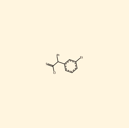 CCc1cccc(C(C(=S)Cl)C(C)C)c1